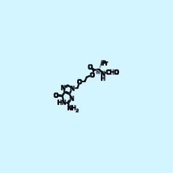 CC(C)[C@H](NC=O)C(=O)OCCOCn1cnc2c(=O)[nH]c(N)nc21